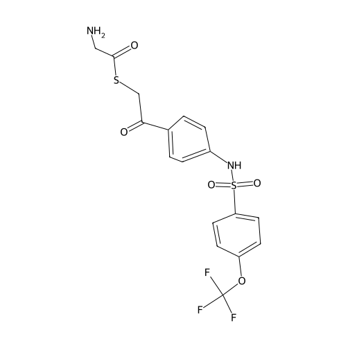 NCC(=O)SCC(=O)c1ccc(NS(=O)(=O)c2ccc(OC(F)(F)F)cc2)cc1